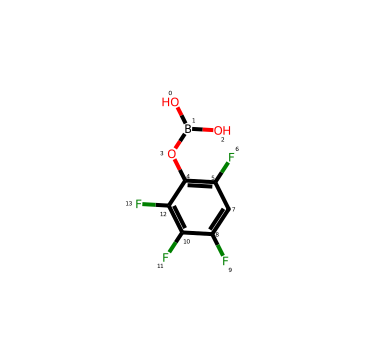 OB(O)Oc1c(F)cc(F)c(F)c1F